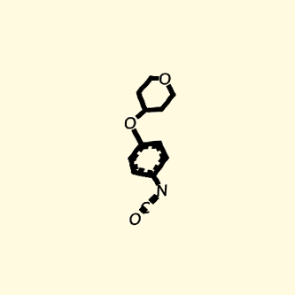 O=C=Nc1ccc(OC2CCOCC2)cc1